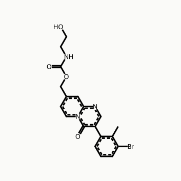 Cc1c(Br)cccc1-c1cnc2cc(COC(=O)NCCO)ccn2c1=O